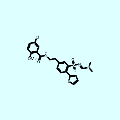 COc1ccc(Cl)cc1C(=O)NCCc1ccc(-c2cccs2)c(S(=O)(=O)N=CN(C)C)c1